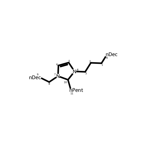 CCCCCCCCCCCCCN1C=CN(CCCCCCCCCCC)C1CCCCC